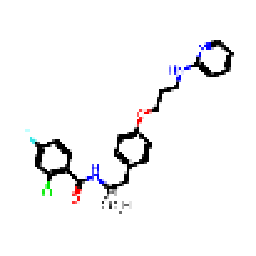 O=C(N[C@@H](Cc1ccc(OCCCNc2ccccn2)cc1)C(=O)O)c1ccc(F)cc1Cl